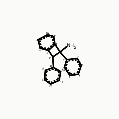 NC1(c2ccccc2)c2ccccc2C1c1ccccc1